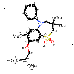 CCCCC1(CCCC)CN(c2ccccc2)c2cc(SC)c(OC[C@H](OC)C(=O)O)cc2S(=O)(=O)C1